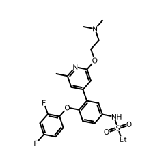 CCS(=O)(=O)Nc1ccc(Oc2ccc(F)cc2F)c(-c2cc(C)nc(OCCN(C)C)c2)c1